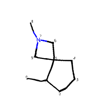 CC1CCCC12CN(C)C2